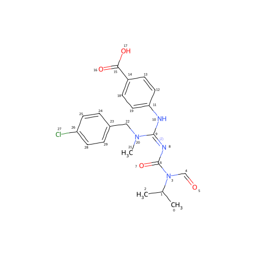 CC(C)N(C=O)C(=O)/N=C(/Nc1ccc(C(=O)O)cc1)N(C)Cc1ccc(Cl)cc1